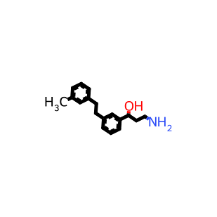 Cc1cccc(CCc2cccc(C(O)CCN)c2)c1